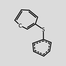 C1=CCC=C(Sc2ccccc2)C=C1